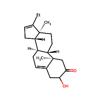 CCC1=CC[C@H]2[C@@H]3CC=C4CC(O)C(=O)C[C@]4(C)[C@H]3CC[C@]12C